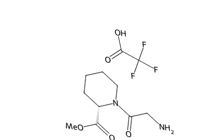 COC(=O)[C@@H]1CCCCN1C(=O)CN.O=C(O)C(F)(F)F